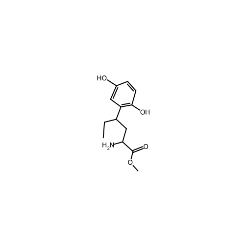 CCC(CC(N)C(=O)OC)c1cc(O)ccc1O